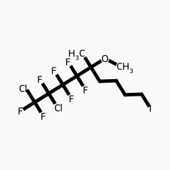 COC(C)(CCCCI)C(F)(F)C(F)(F)C(F)(Cl)C(F)(F)Cl